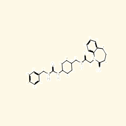 O=C(CN1C(=O)CC[C]c2ccccc21)NCC1CCC(NC(=O)NCc2ccccc2)CC1